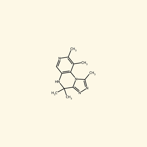 Cc1ncc2c(c1C)-n1c(C)nnc1C(C)(C)N2